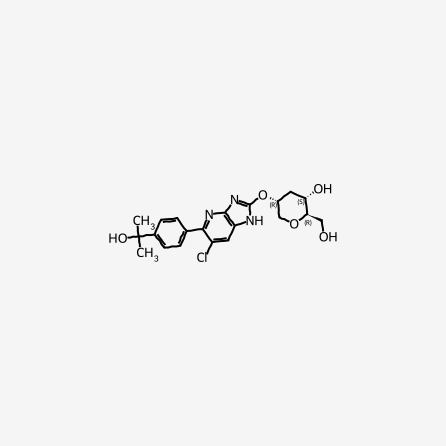 CC(C)(O)c1ccc(-c2nc3nc(O[C@H]4CO[C@H](CO)[C@@H](O)C4)[nH]c3cc2Cl)cc1